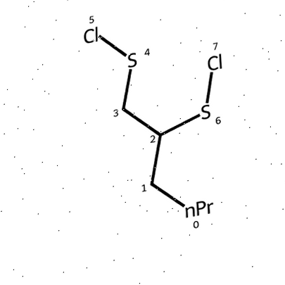 CCCCC(CSCl)SCl